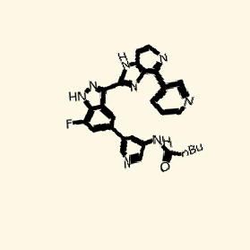 CCCCC(=O)Nc1cncc(-c2cc(F)c3[nH]nc(-c4nc5c(-c6cccnc6)nccc5[nH]4)c3c2)c1